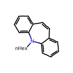 CCCCCCN1c2ccccc2C=Cc2ccccc21